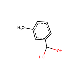 Cc1cccc(C(O)O)c1